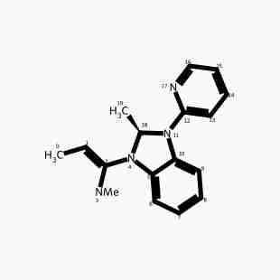 C/C=C(\NC)N1c2ccccc2N(c2ccccn2)[C@@H]1C